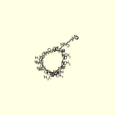 CC=CC[C@@H](C)[C@@H](O)[C@H]1C(=O)N[C@@H](CC)C(=O)N(C)CC(=O)N(C)CC(=O)N[C@@H](CCCCNC(=O)CCCSSc2ccccn2)C(=O)N(C)CC(=O)NCC(=O)N[C@H](C)C(=O)N(C)[C@@H](CC(C)C)C(=O)N(C)[C@@H](CC(C)C)C(=O)N(C)[C@@H](C(C)C)C(=O)N1C